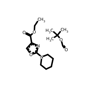 CC(C)(C)OC=O.CCOC(=O)c1coc(N2CCCCC2)n1